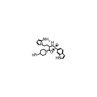 CCCC1CCN(C(=O)C(CCn2cccc2N)NS(=O)(=O)c2ccc3cc[nH]c3c2)CC1